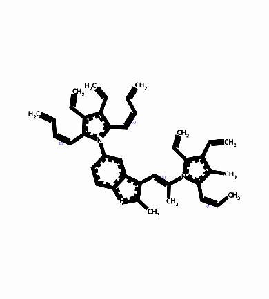 C=C/C=C\c1c(C=C)c(C=C)c(/C=C\C=C)n1-c1ccc2sc(C)c(/C=C(\C)n3c(C=C)c(C=C)c(C)c3/C=C\C)c2c1